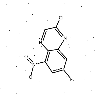 O=[N+]([O-])c1cc(F)cc2nc(Cl)cnc12